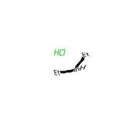 C[CH2][InH][CH2]C.Cl